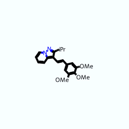 COc1cc(C=Cc2c(C(C)C)nn3ccccc23)cc(OC)c1OC